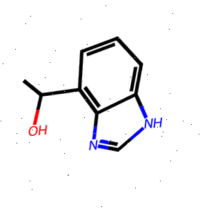 CC(O)c1cccc2[nH]cnc12